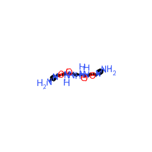 NC1CCN(CCOCCNC(=O)NCCCCNC(=O)NCCOCCN2CCC(N)CC2)CC1